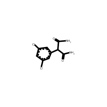 NC(=O)C(C(N)=O)c1cc(Cl)cc(Cl)c1